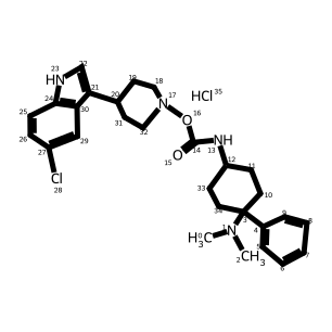 CN(C)C1(c2ccccc2)CCC(NC(=O)ON2CCC(c3c[nH]c4ccc(Cl)cc34)CC2)CC1.Cl